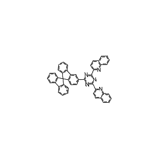 c1ccc2c(c1)-c1ccccc1C21c2ccccc2-c2cc(-c3nc(-c4ccc5ccccc5n4)nc(-c4ccc5ccccc5n4)n3)ccc21